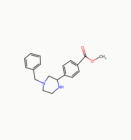 COC(=O)c1ccc(C2CN(Cc3ccccc3)CCN2)cc1